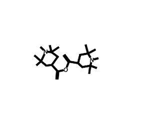 C=C(OC(=C)C1CC(C)(C)N(C)C(C)(C)C1)C1CC(C)(C)N(C)C(C)(C)C1